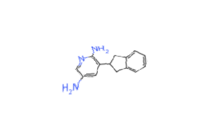 Nc1cnc(N)c(C2Cc3ccccc3C2)c1